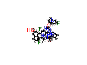 C#Cc1c(F)ccc2cc(O)cc(-c3nc4c5c(nc(OC[C@@]67CCCN6C[C@H](F)C7)nc5c3F)N3CC5CCC(N5)[C@@H]3C(=O)N4C)c12